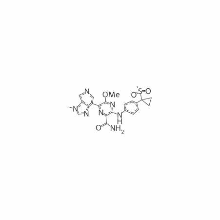 COc1nc(Nc2ccc(C3(S(C)(=O)=O)CC3)cc2)c(C(N)=O)nc1-c1cncc2c1ncn2C